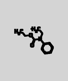 [CH2]CN(C(=O)OCC)c1ccccc1